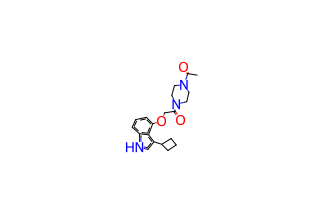 CC(=O)N1CCN(C(=O)COc2cccc3[nH]cc(C4CCC4)c23)CC1